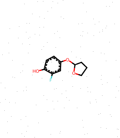 Oc1ccc(OC2CCCO2)cc1F